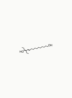 CCC(O)=C(C=CCCCCCCCCCCO)CC